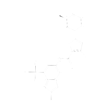 Cc1cn2cc(NC(=O)c3sc([C@H]4CCN[C@H](C)C4)cc3F)cc(C(F)(F)F)c2n1